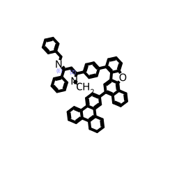 C=N/C(=C\C(=N/Cc1ccccc1)c1ccccc1)c1ccc(-c2cccc3oc4c5ccccc5c(-c5ccc6c(c5)c5c(c7ccccc76)CCC=C5)cc4c23)cc1